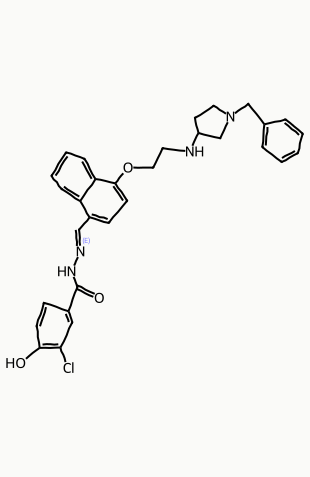 O=C(N/N=C/c1ccc(OCCNC2CCN(Cc3ccccc3)C2)c2ccccc12)c1ccc(O)c(Cl)c1